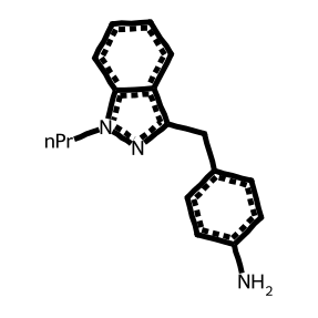 CCCn1nc(Cc2ccc(N)cc2)c2ccccc21